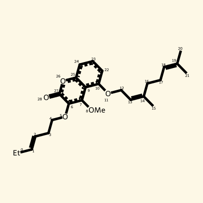 CCC=CCCOc1c(OC)c2c(OCC=C(C)CCC=C(C)C)cccc2oc1=O